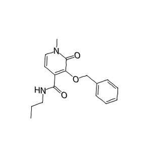 CCCNC(=O)c1ccn(C)c(=O)c1OCc1ccccc1